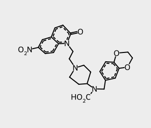 O=C(O)N(Cc1ccc2c(c1)OCCO2)C1CCN(CCn2c(=O)ccc3cc([N+](=O)[O-])ccc32)CC1